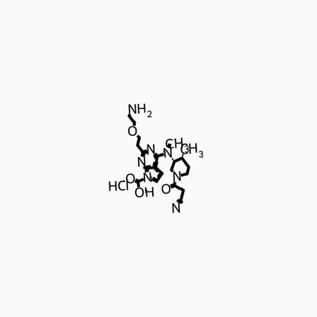 C[C@@H]1CCN(C(=O)CC#N)C[C@@H]1N(C)c1nc(CCOCCN)nc2c1ccn2C(=O)O.Cl